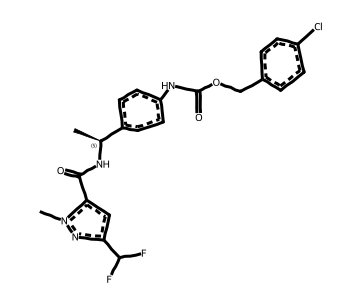 C[C@H](NC(=O)c1cc(C(F)F)nn1C)c1ccc(NC(=O)OCc2ccc(Cl)cc2)cc1